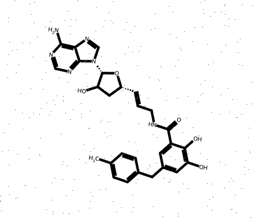 Cc1ccc(Cc2cc(O)c(O)c(C(=O)NC/C=C/[C@@H]3CC(O)[C@H](n4cnc5c(N)ncnc54)O3)c2)cc1